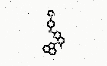 O=c1ccc2cnc(Nc3ccc(-n4cccn4)cc3)nc2n1C1Cc2cccc3cccc1c23